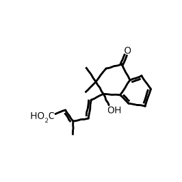 CC(=CC(=O)O)/C=C/C1(O)c2ccccc2C(=O)CC1(C)C